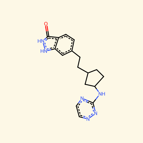 O=c1[nH][nH]c2cc(CCC3CCC(Nc4nccnn4)C3)ccc12